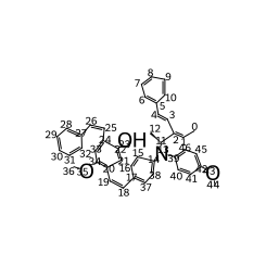 CC=C(C=Cc1ccccc1)[C@H](C)N(c1ccc(/C=C\c2cc(O)c(/C=C\c3ccccc3)cc2OC)cc1)c1ccc(OC)cc1